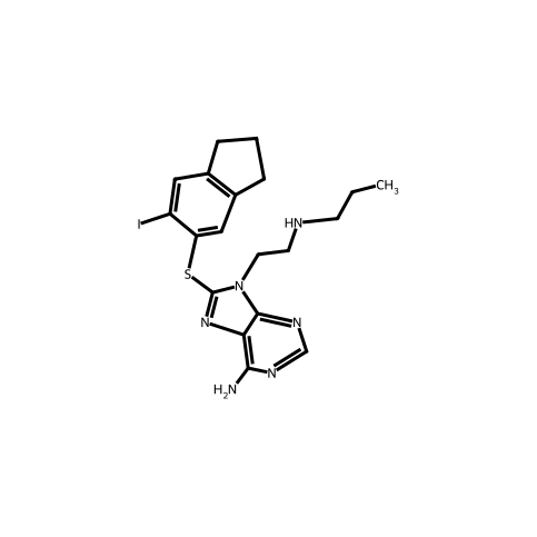 CCCNCCn1c(Sc2cc3c(cc2I)CCC3)nc2c(N)ncnc21